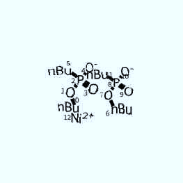 CCCCOP(=O)([O-])CCCC.CCCCOP(=O)([O-])CCCC.[Ni+2]